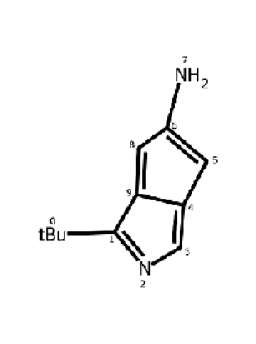 CC(C)(C)C1=NC=C2C=C(N)C=C21